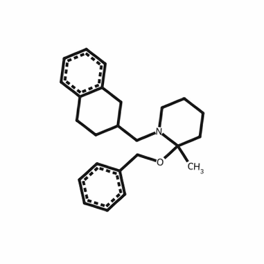 CC1(OCc2ccccc2)CCCCN1CC1CCc2ccccc2C1